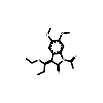 CCO/C(CC)=C1/C(=O)N(C(C)=O)c2cc(OC)c(OC)cc21